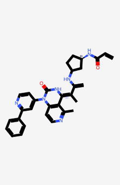 C=CC(=O)N[C@@H]1CCC(NC(=C)/C(C)=C2\NC(=O)N(c3ccnc(-c4ccccc4)c3)c3ccnc(C)c32)C1